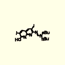 CCCCN(C=Nc1nc2nc(O)c(I)cc2cc1I)CCCC